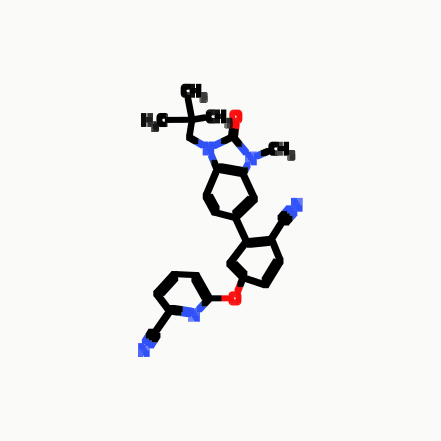 Cn1c(=O)n(CC(C)(C)C)c2ccc(-c3cc(Oc4cccc(C#N)n4)ccc3C#N)cc21